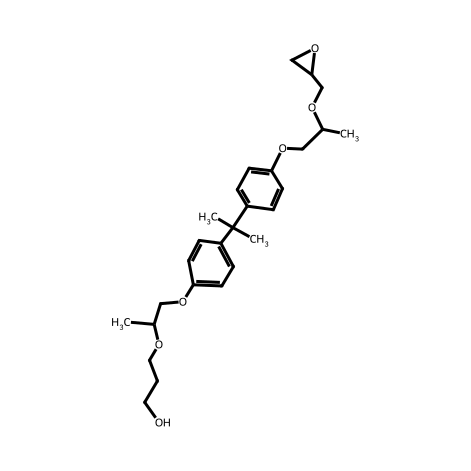 CC(COc1ccc(C(C)(C)c2ccc(OCC(C)OCC3CO3)cc2)cc1)OCCCO